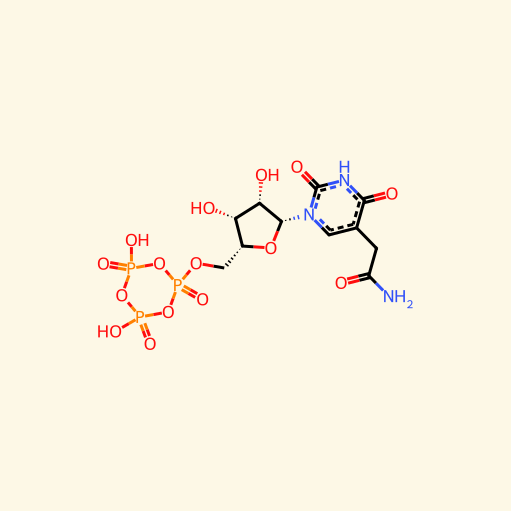 NC(=O)Cc1cn([C@@H]2O[C@H](COP3(=O)OP(=O)(O)OP(=O)(O)O3)[C@H](O)[C@@H]2O)c(=O)[nH]c1=O